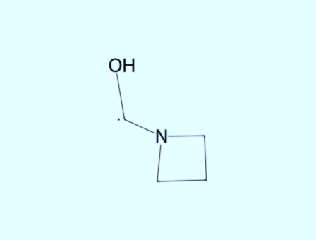 O[CH]N1CCC1